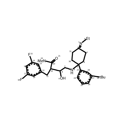 CCN=C1CCC(NCC(O)C(Cc2cc(F)cc(F)c2)C(=O)NC)(c2cccc(C(C)(C)C)c2)CC1